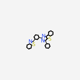 c1ccc(-c2nc(-c3cccc(-c4nc5ccccc5s4)c3)nc3c2sc2ccccc23)cc1